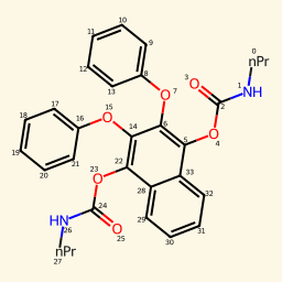 CCCNC(=O)Oc1c(Oc2ccccc2)c(Oc2ccccc2)c(OC(=O)NCCC)c2ccccc12